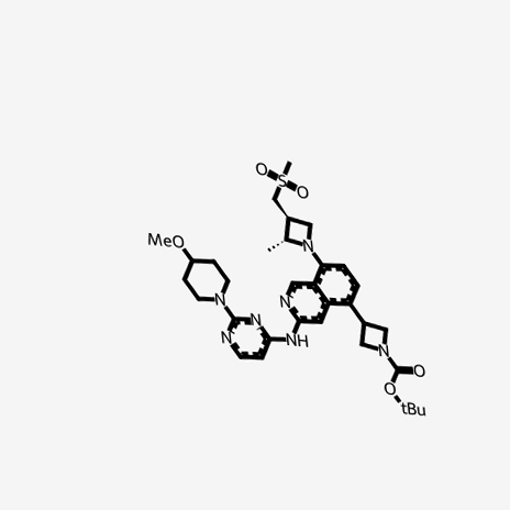 COC1CCN(c2nccc(Nc3cc4c(C5CN(C(=O)OC(C)(C)C)C5)ccc(N5C[C@H](CS(C)(=O)=O)[C@H]5C)c4cn3)n2)CC1